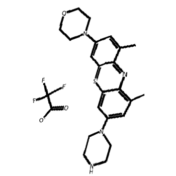 Cc1cc(N2CCNCC2)cc2[s+]c3cc(N4CCOCC4)cc(C)c3nc12.O=C([O-])C(F)(F)F